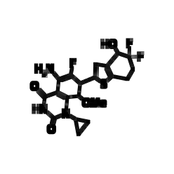 COC1c2c(c(=O)[nH]c(=O)n2C2CC2)C(N)=C(F)C1c1cc2c(s1)CCC(F)(F)C2O